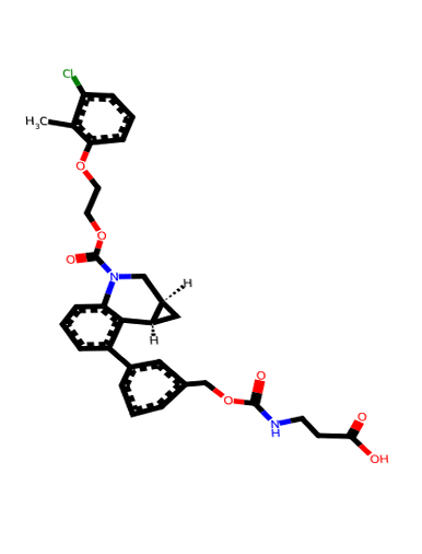 Cc1c(Cl)cccc1OCCOC(=O)N1C[C@H]2C[C@H]2c2c(-c3cccc(COC(=O)NCCC(=O)O)c3)cccc21